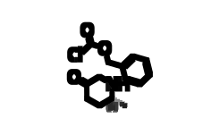 C[C@@H]1CCC(=O)CN1.O=C(Cl)OCc1ccccc1